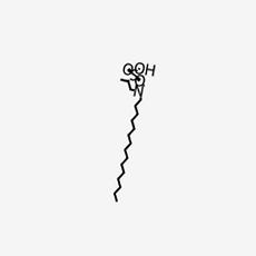 CCCCCCCCCCCCCCCN(C)CC(C)S(=O)(=O)O